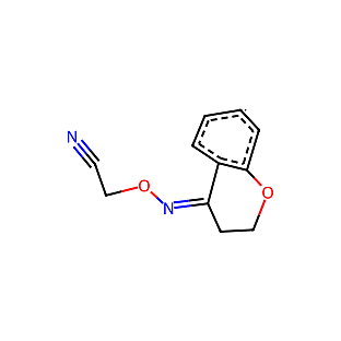 N#CCO/N=C1/CCOc2c[c]ccc21